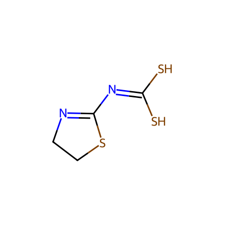 SC(S)=NC1=NCCS1